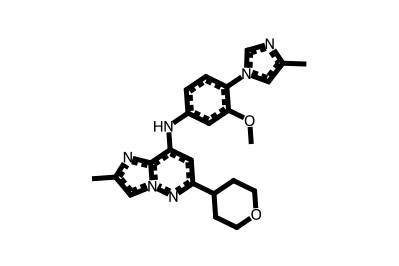 COc1cc(Nc2cc(C3CCOCC3)nn3cc(C)nc23)ccc1-n1cnc(C)c1